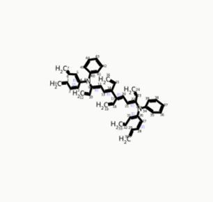 C=C/C=C\C(=C/C=C)N(/C(C=C)=C/C=C(C=C)/C(C=C)=C/C=C(\C=C)N(C(/C=C\C=C)=C/C=C)c1ccccc1)c1ccccc1